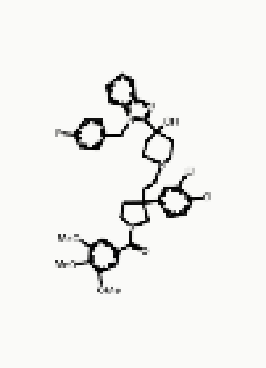 COc1cc(C(=O)N2CCC(CCN3CCC(O)(c4nc5ccccc5n4Cc4ccc(F)cc4)CC3)(c3ccc(Cl)c(Cl)c3)C2)cc(OC)c1OC